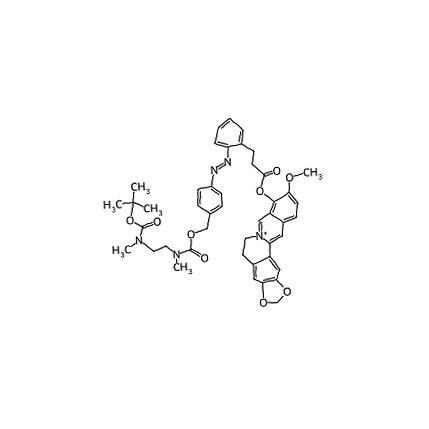 COc1ccc2cc3[n+](cc2c1OC(=O)CCc1ccccc1/N=N/c1ccc(COC(=O)N(C)CCN(C)C(=O)OC(C)(C)C)cc1)CCc1cc2c(cc1-3)OCO2